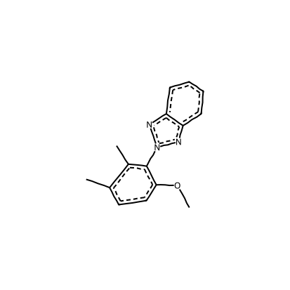 COc1ccc(C)c(C)c1-n1nc2ccccc2n1